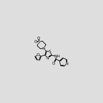 O=C(Nc1nc(-c2ccco2)c(N2CCS(=O)(=O)CC2)s1)c1ccncc1